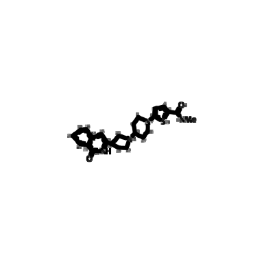 CNC(=O)c1ccc(N2CCC(N3CCC(c4cc5ccccc5c(=O)[nH]4)C3)CC2)s1